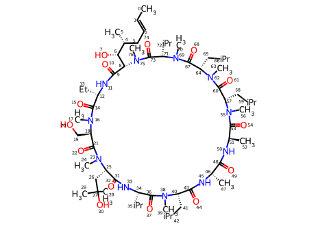 C/C=C/C[C@@H](C)[C@@H](O)[C@H]1C(=O)N[C@@H](CC)C(=O)N(C)[C@H](CO)C(=O)N(C)[C@@H](CC(C)(C)O)C(=O)N[C@@H](C(C)C)C(=O)N(C)[C@@H](CC(C)C)C(=O)N[C@@H](C)C(=O)N[C@H](C)C(=O)N(C)[C@@H](CC(C)C)C(=O)N(C)[C@@H](CC(C)C)C(=O)N(C)[C@@H](C(C)C)C(=O)N1C